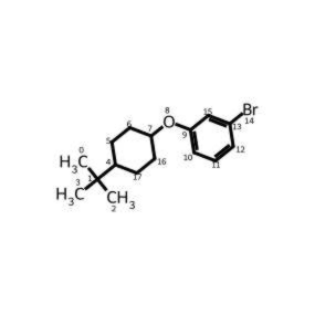 CC(C)(C)C1CCC(Oc2cccc(Br)c2)CC1